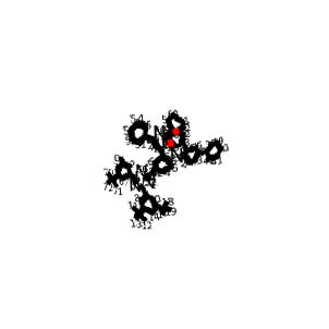 Cc1cc(-c2nc(-c3cc(C(C)(C)C)cc(C(C)(C)C)c3)nc(-c3ccc(-n4c5ccccc5c5cc(-c6ccccc6)ccc54)c(-c4cc(-c5ccccc5)nc(-c5ccccc5)n4)c3)n2)cc(C(C)(C)C)c1